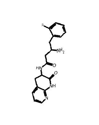 NC(CC(=O)NC1Cc2cccnc2NC1=O)Cc1ccccc1F